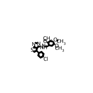 COc1cc(OC)c(OC)cc1/C=N/Nc1ncnc2scc(-c3ccc(Cl)cc3)c12